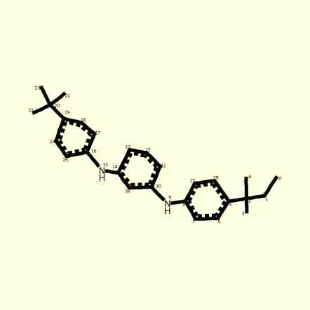 CCC(C)(C)c1ccc(Nc2cccc(Nc3ccc(C(C)(C)C)cc3)c2)cc1